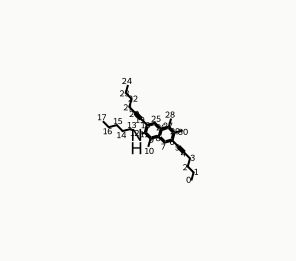 CCCCC#Cc1cc2c(C)c(NCCCCC)c(C#CCCCC)cc2c(C)c1C